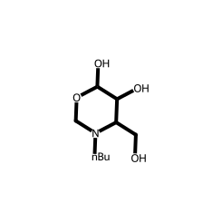 CCCCN1COC(O)C(O)C1CO